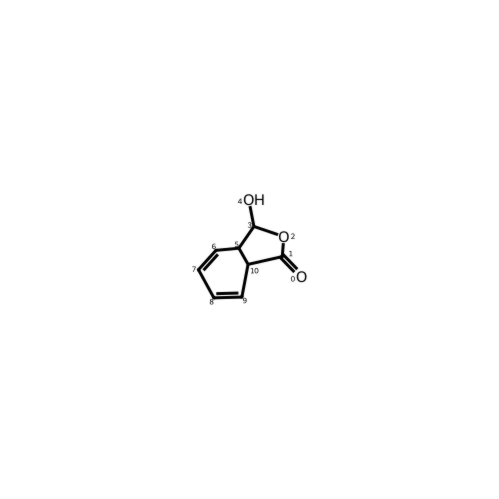 O=C1OC(O)C2C=CC=CC12